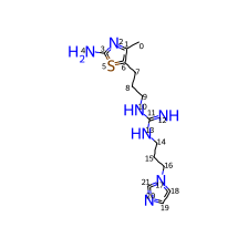 Cc1nc(N)sc1CCCNC(=N)NCCCn1ccnc1